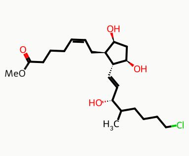 COC(=O)CCC/C=C\C[C@@H]1[C@@H](/C=C/[C@@H](O)C(C)CCCCCl)[C@H](O)C[C@@H]1O